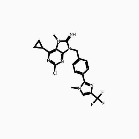 Cn1cc(C(F)(F)F)nc1-c1ccc(Cn2c(=N)n(C)c3c(C4CC4)nc(Cl)nc32)cc1